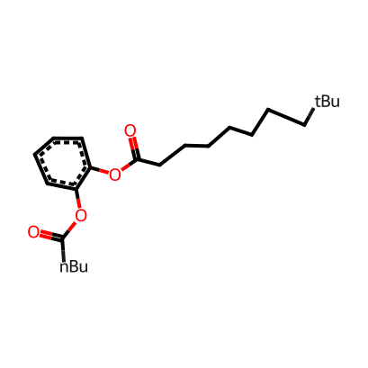 CCCCC(=O)Oc1ccccc1OC(=O)CCCCCCCC(C)(C)C